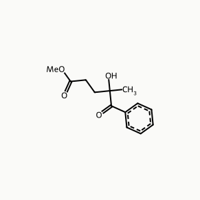 COC(=O)CCC(C)(O)C(=O)c1ccccc1